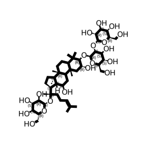 CC(C)=CCC[C@](C)(O[C@@H]1O[C@H](CO)[C@@H](O)[C@H](O)[C@H]1O)[C@H]1CC[C@]2(C)[C@@H]1[C@H](O)CC1[C@@]3(C)C[C@@H](O)[C@H](O[C@@H]4O[C@H](CO)[C@@H](O)[C@H](O)[C@H]4O[C@@H]4O[C@H](CO)[C@@H](O)[C@H](O)[C@H]4O)C(C)(C)C3CC[C@]12C